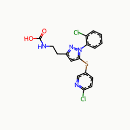 O=C(O)NCCc1cc(Sc2ccc(Cl)nc2)n(-c2ccccc2Cl)n1